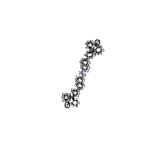 O=c1c2ccccc2n(-c2ccc(-c3ccc4cc(/C=C/c5ccc6cc(-c7ccc(-n8c9ccccc9c(=O)c9ccccc98)cc7)ccc6c5)ccc4c3)cc2)c2ccccc12